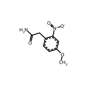 COc1ccc(CC(N)=O)c([N+](=O)[O-])c1